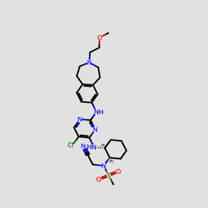 COCCN1CCc2ccc(Nc3ncc(Cl)c(N[C@@H]4CCCC[C@H]4N(CC#N)S(C)(=O)=O)n3)cc2CC1